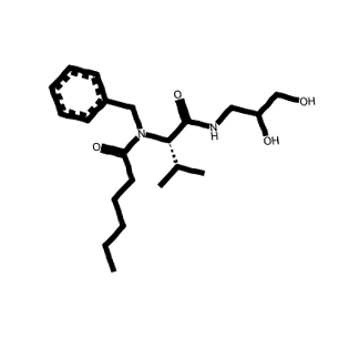 CCCCCC(=O)N(Cc1ccccc1)[C@H](C(=O)NCC(O)CO)C(C)C